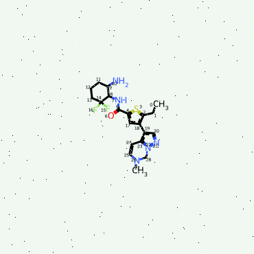 CCc1sc(C(=O)NC2C(N)CCCC2(F)F)cc1-c1cnn2c1C=CN(C)C2